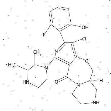 CC1NCCN(c2nc(-c3c(O)cccc3F)c(Cl)c3c2C(=O)N2CCNC[C@@H]2CO3)C1C